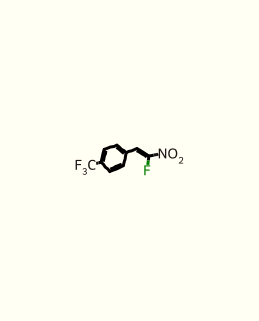 O=[N+]([O-])C(F)=Cc1ccc(C(F)(F)F)cc1